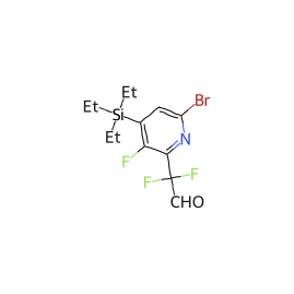 CC[Si](CC)(CC)c1cc(Br)nc(C(F)(F)C=O)c1F